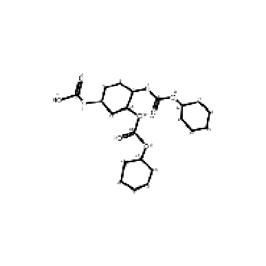 O=C(O)OC1CCC(OC(=O)OC2CCCCC2)C(OC(=O)OC2CCCCC2)C1